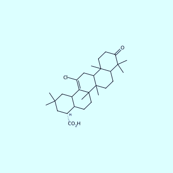 CC1(C)CC2C3=C(Cl)CC4C5(C)CCC(=O)C(C)(C)C5CCC4(C)C3(C)CCC2[C@H](C(=O)O)C1